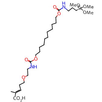 CO[Si](CCCNC(=O)OCCCCCCCCCCCOC(=O)NCCOCCC=C(C)C(=O)O)(OC)OC